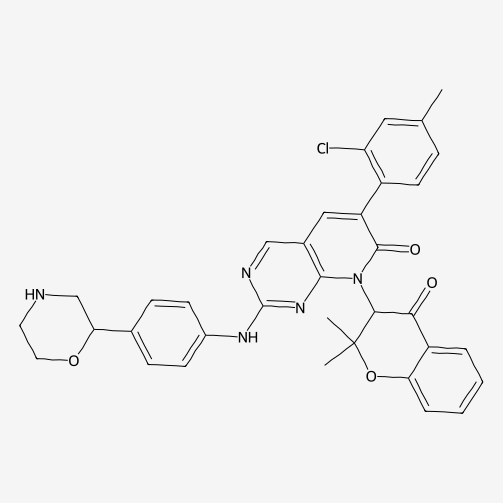 Cc1ccc(-c2cc3cnc(Nc4ccc(C5CNCCO5)cc4)nc3n(C3C(=O)c4ccccc4OC3(C)C)c2=O)c(Cl)c1